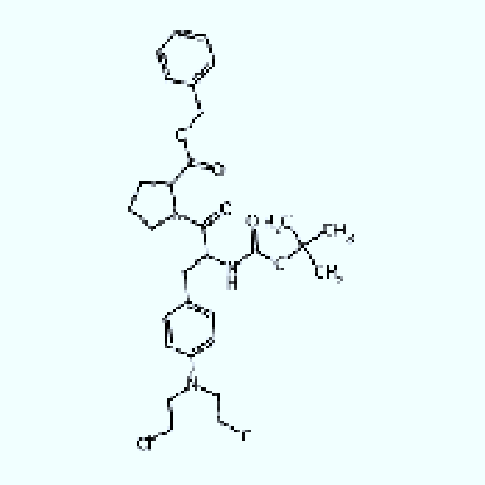 CC(C)(C)OC(=O)NC(Cc1ccc(N(CCCl)CCCl)cc1)C(=O)N1CCCC1C(=O)OCc1ccccc1